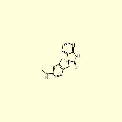 CNc1ccc2c(c1)C[C@@]1(C2)C(=O)Nc2ncccc21